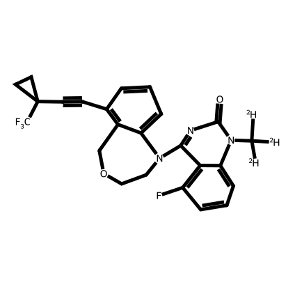 [2H]C([2H])([2H])n1c(=O)nc(N2CCOCc3c(C#CC4(C(F)(F)F)CC4)cccc32)c2c(F)cccc21